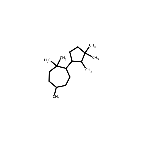 CC1CCC([C]2CCC(C)(C)C2C)C(C)(C)CC1